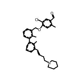 Cc1cc(OCc2cccc(-c3cccc(C=CCCN4CCCCC4)c3C)c2C)c(Cl)cc1C=O